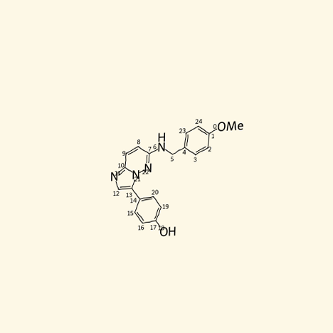 COc1ccc(CNc2ccc3ncc(-c4ccc(O)cc4)n3n2)cc1